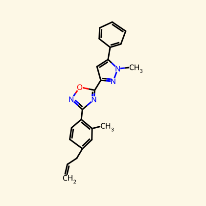 C=CCc1ccc(-c2noc(-c3cc(-c4ccccc4)n(C)n3)n2)c(C)c1